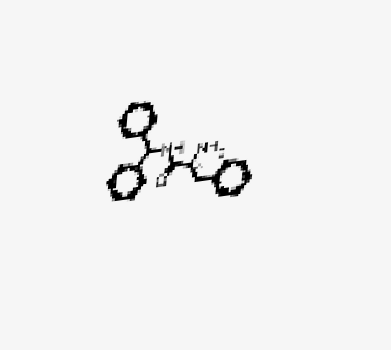 N[C@@H](Cc1ccccc1)C(=O)NC(c1ccccc1)c1ccccc1